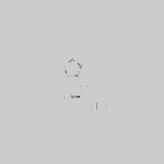 O=CC(=O)Oc1ccsc1